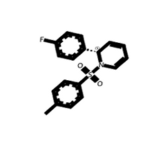 Cc1ccc(S(=O)(=O)N2C=CC=C[C@H]2c2ccc(F)cc2)cc1